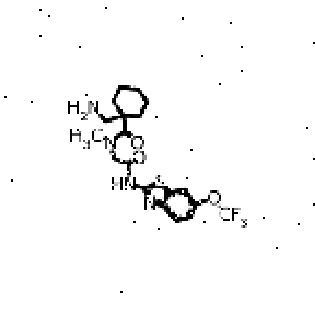 CN(CC(=O)Nc1nc2ccc(OC(F)(F)F)cc2s1)C(=O)C1(CN)CCCCC1